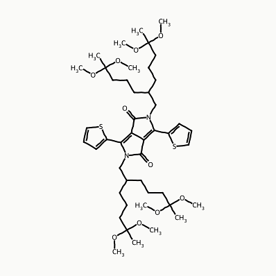 COC(C)(CCCC(CCCC(C)(OC)OC)CN1C(=O)C2=C(c3cccs3)N(CC(CCCC(C)(OC)OC)CCCC(C)(OC)OC)C(=O)C2=C1c1cccs1)OC